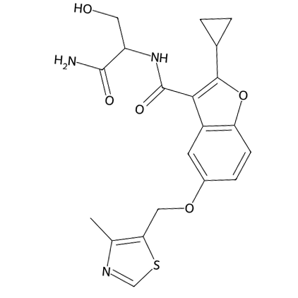 Cc1ncsc1COc1ccc2oc(C3CC3)c(C(=O)NC(CO)C(N)=O)c2c1